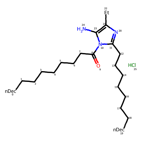 CCCCCCCCCCCCCCCCCC(=O)n1c(CCCCCCCCCCCCCCCCC)nc(CC)c1N.Cl